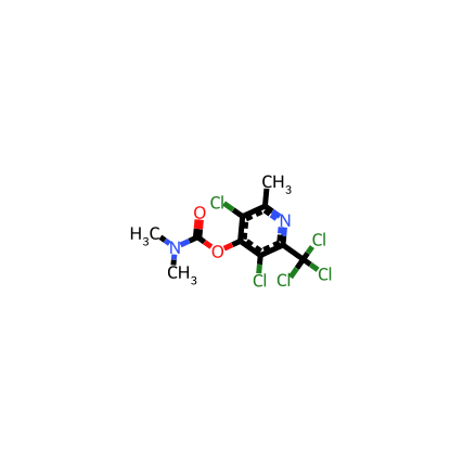 Cc1nc(C(Cl)(Cl)Cl)c(Cl)c(OC(=O)N(C)C)c1Cl